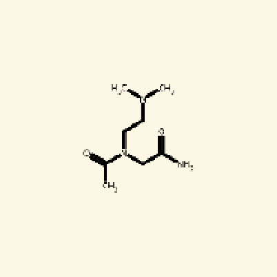 CC(=O)N(CCN(C)C)CC(N)=O